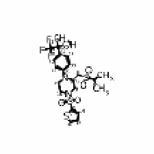 CC(C)S(=O)(=O)C[C@H]1CN(S(=O)(=O)c2cccs2)CCN1c1ccc(C(C)(O)C(F)(F)F)cc1